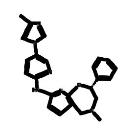 Cc1cn(-c2ccc(Nc3ccc4c(n3)O[C@H](c3ccccc3)CN(C)C4)nc2)cn1